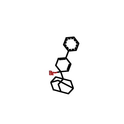 BrC1(C23CC4CC(CC(C4)C2)C3)C=CC(c2ccccc2)=CC1